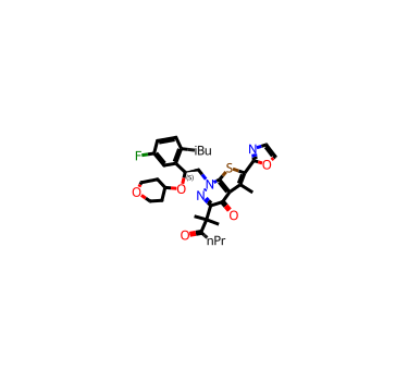 CCCC(=O)C(C)(C)c1nn(C[C@@H](OC2CCOCC2)c2cc(F)ccc2C(C)CC)c2sc(-c3ncco3)c(C)c2c1=O